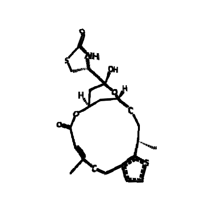 C/C1=C/C(=O)O[C@@H]2C[C@@H](CC[C@H](C)c3sccc3CC1)O[C@@](O)([C@@H]1CSC(=O)N1)C2